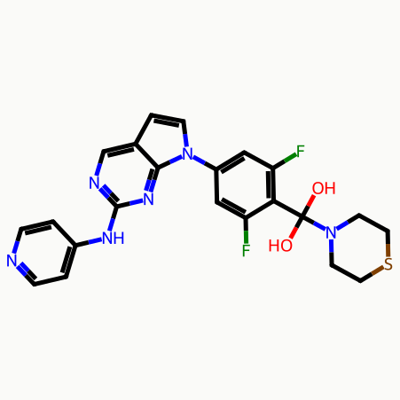 OC(O)(c1c(F)cc(-n2ccc3cnc(Nc4ccncc4)nc32)cc1F)N1CCSCC1